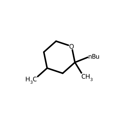 CCCCC1(C)CC(C)CCO1